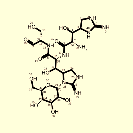 N=C1NCC(C(O)[C@H](N)C(=O)N[C@@H](C(=O)N[C@H]([C]=O)CO)C(O)C2CNC(=N)N2[C@H]2O[C@H](CO)[C@@H](O)[C@H](O)[C@@H]2O)N1